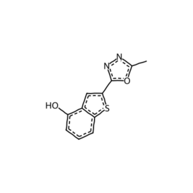 Cc1nnc(-c2cc3c(O)cccc3s2)o1